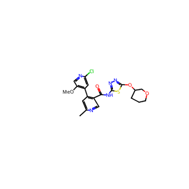 COc1cnc(Cl)cc1-c1cc(C)ncc1C(=O)Nc1nnc(OC2CCCOC2)s1